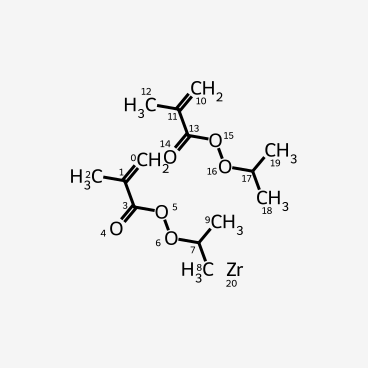 C=C(C)C(=O)OOC(C)C.C=C(C)C(=O)OOC(C)C.[Zr]